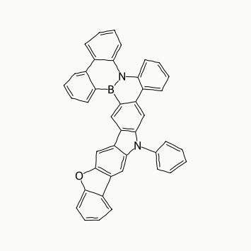 c1ccc(-n2c3cc4c(cc3c3cc5oc6ccccc6c5cc32)B2c3ccccc3-c3ccccc3N2c2ccccc2-4)cc1